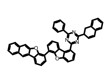 C1=CC(c2nc(-c3ccccc3)nc(-c3cccc4oc5c(-c6cccc7c6oc6cc8ccccc8cc67)cccc5c34)n2)Cc2ccccc21